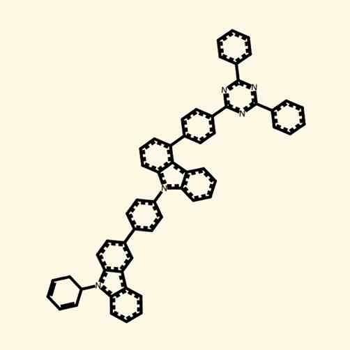 C1=CCC(n2c3ccccc3c3cc(-c4ccc(-n5c6ccccc6c6c(-c7ccc(-c8nc(-c9ccccc9)nc(-c9ccccc9)n8)cc7)cccc65)cc4)ccc32)C=C1